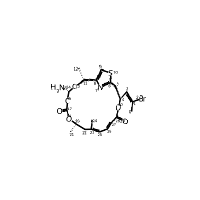 C/C(Br)=C\[C@@H]1Cc2nc(cs2)[C@@H](C)C[C@@H](N)CC(=O)O[C@@H](C)C/C(C)=C/C=C\C(=O)O1